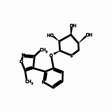 Cc1noc(C)c1-c1ncccc1O[C@H]1SC[C@@H](O)[C@H](O)[C@H]1O